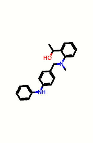 CC(O)c1ccccc1N(C)Cc1ccc(Nc2ccccc2)cc1